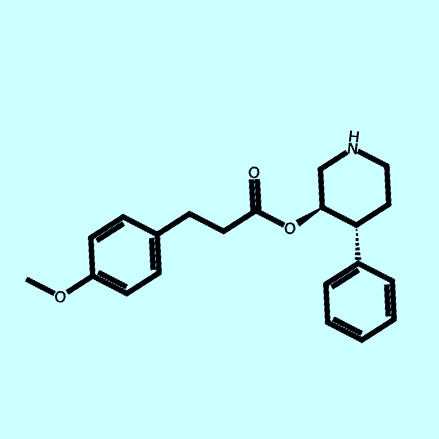 COc1ccc(CCC(=O)O[C@H]2CNCC[C@@H]2c2ccccc2)cc1